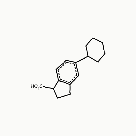 O=C(O)C1CCc2cc(C3CCCCC3)ccc21